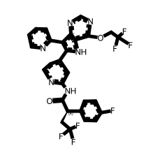 O=C(Nc1cc(-c2[nH]c3c(OCC(F)(F)F)ncnc3c2-c2ccccn2)ccn1)[C@H](CC(F)(F)F)c1ccc(F)cc1